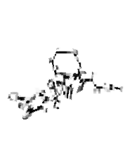 O=S(=O)(NC1C2CCCCC1(/C=C/CO)CC2)c1ccc(Cl)s1